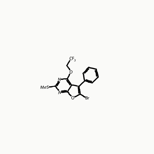 CSc1nc(OCC(F)(F)F)c2c(-c3ccccc3)c(Br)oc2n1